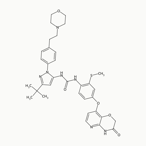 CSc1cc(Oc2ccnc3c2OCC(=O)N3)ccc1NC(=O)Nc1cc(C(C)(C)C)nn1-c1ccc(CCN2CCOCC2)cc1